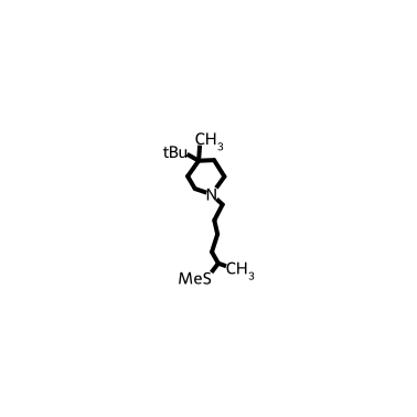 CSC(C)CCCCN1CCC(C)(C(C)(C)C)CC1